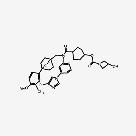 COc1ccc(C23CCC(CN(C(=O)C4CCC(OC(=O)N5CC(O)C5)CC4)c4cc(-n5cnc(C(C)C)c5)ccn4)(CC2)CC3)cc1C